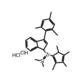 CC1=C(C)C(C)[C]([Zr]([CH]2C=C(c3c(C)cc(C)cc3C)c3ccccc32)=[Si](C)C)=C1C.Cl.Cl